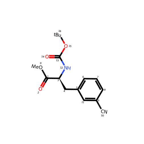 COC(=O)[C@H](Cc1cccc(C#N)c1)NC(=O)OC(C)(C)C